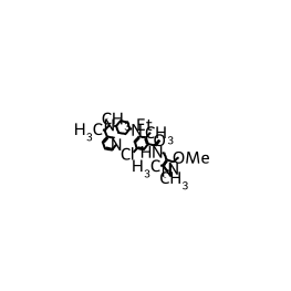 CCN(c1cc(Cl)cc(C(=O)NCc2c(OC)nn(C)c2C)c1C)C1CCC(N(C)C(C)c2cccnc2)CC1